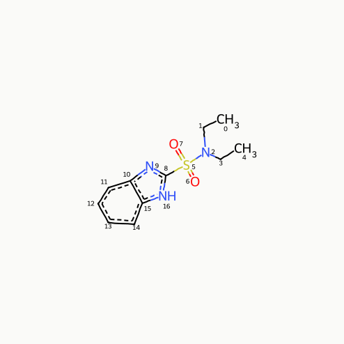 CCN(CC)S(=O)(=O)c1nc2ccccc2[nH]1